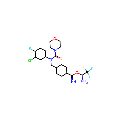 N=C(OC(N)C(F)(F)F)C1CCC(CN(C(=O)N2CCOCC2)C2CCC(F)C(Cl)C2)CC1